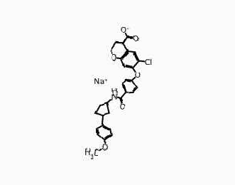 COc1ccc(C2CCC(NC(=O)c3ccc(Oc4cc5c(cc4Cl)C(C(=O)[O-])CCO5)cc3)C2)cc1.[Na+]